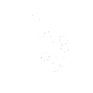 COCC(=O)N[C@@H](Cc1ccccc1)C(=O)Nc1ccc2ncnc(Nc3ccc(OCc4cccc(F)c4)c(Cl)c3)c2c1